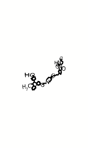 CCC(=C(c1ccc(O)cc1)c1ccc(OCCN2CCC(OCCCc3ccc4c(c3)C(=O)N(C3CCC(=O)NC3=O)C4=O)CC2)cc1)c1ccccc1